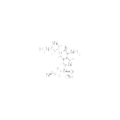 Cc1c(N)cncc1-c1cc2cc(N(C(=O)O)[C@H]3C[C@H](C#N)C3)ncc2c(N)c1F